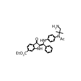 CCOC(=O)c1ccc2c(c1)NC(=C(Nc1ccc(N(C(C)=O)C(C)(C)CN)cc1)c1ccccc1)C2=O